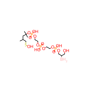 BC(CO)COP(=O)(O)OCCOP(=O)(O)OCCOP(=O)(O)OC(C)(C)CC(C)CSO